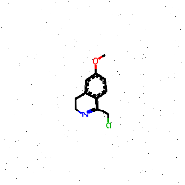 COc1ccc2c(c1)CCN=C2CCl